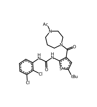 CC(=O)N1CCCN(C(=O)c2cc(C(C)(C)C)sc2NC(=O)Nc2cccc(Cl)c2Cl)CC1